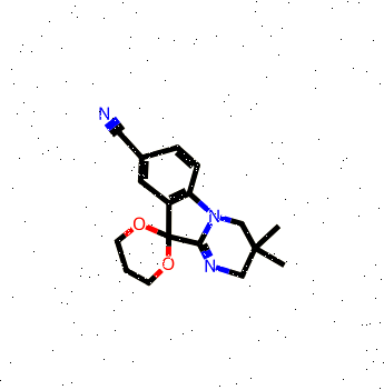 CC1(C)CN=C2N(C1)c1ccc(C#N)cc1C21OCCCO1